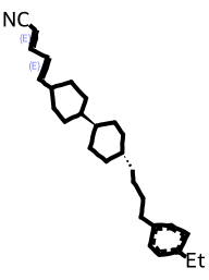 CCc1ccc(CCCC[C@H]2CC[C@H](C3CCC(/C=C/C=C/C#N)CC3)CC2)cc1